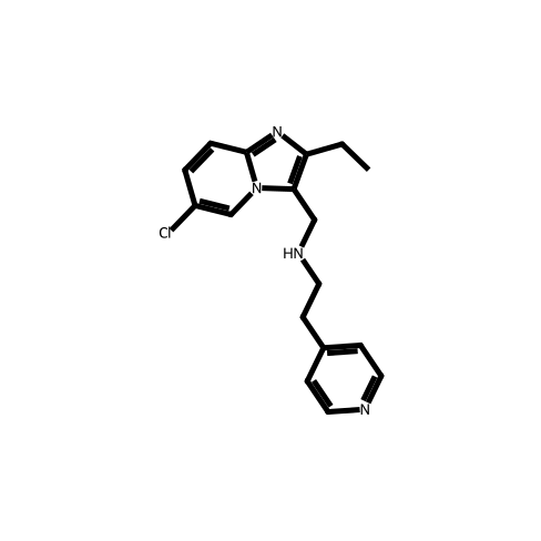 CCc1nc2ccc(Cl)cn2c1CNCCc1ccncc1